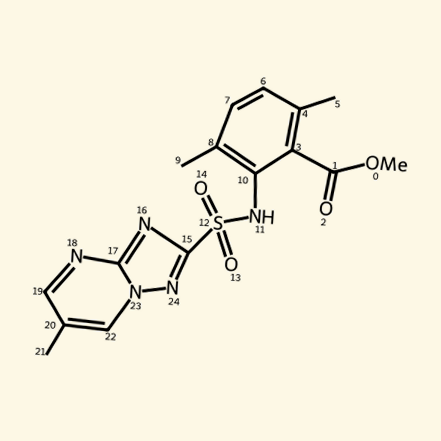 COC(=O)c1c(C)ccc(C)c1NS(=O)(=O)c1nc2ncc(C)cn2n1